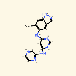 COc1cc2[nH]ncc2cc1Nc1cc(Nc2cnccn2)ncn1